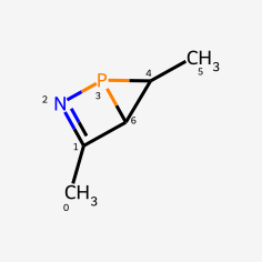 CC1=NP2C(C)C12